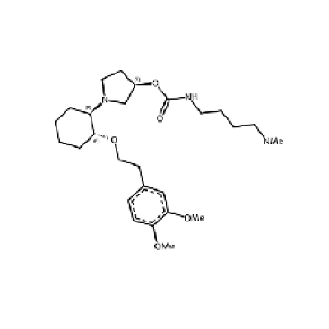 CNCCCCNC(=O)O[C@@H]1CCN([C@@H]2CCCC[C@H]2OCCc2ccc(OC)c(OC)c2)C1